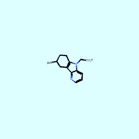 CNC1CCc2c(c3ncccc3n2CC(=O)O)C1